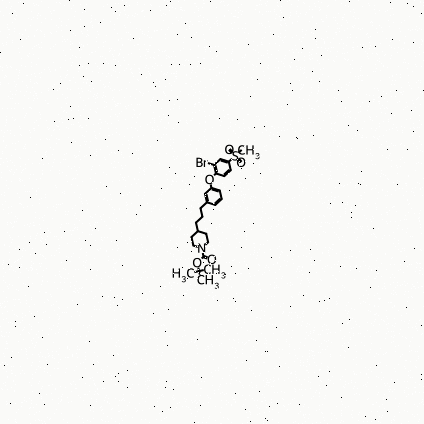 CC(C)(C)OC(=O)N1CCC(CCCc2cccc(Oc3ccc(S(C)(=O)=O)cc3Br)c2)CC1